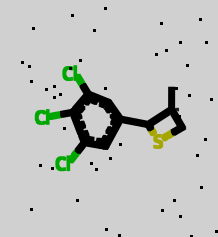 C[C]1CSC1c1cc(Cl)c(Cl)c(Cl)c1